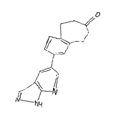 O=C1CCc2ccc(-c3cnc4[nH]ncc4c3)cc2CC1